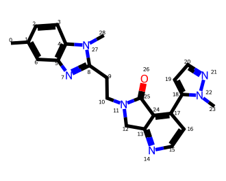 Cc1ccc2c(c1)nc(CCN1Cc3nccc(-c4ccnn4C)c3C1=O)n2C